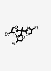 CCC1COC(C(C)(C2=NC(CC)CO2)C2=NC(CC)CO2)=N1